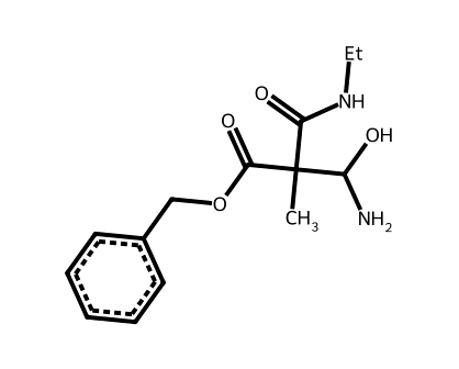 CCNC(=O)C(C)(C(=O)OCc1ccccc1)C(N)O